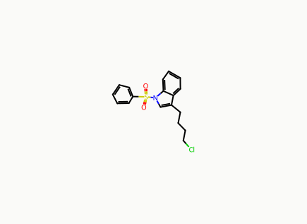 O=S(=O)(c1ccccc1)n1cc(CCCCCl)c2ccccc21